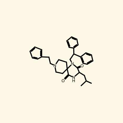 CC(C)CC1NC(=O)C2(CCN(CCc3ccccc3)CC2)N(CC(c2ccccc2)c2ccccc2)C1=O